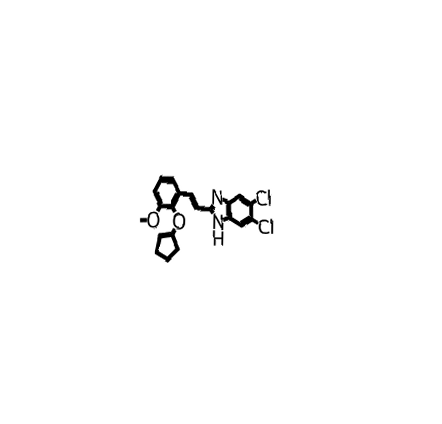 COc1cccc(/C=C/c2nc3cc(Cl)c(Cl)cc3[nH]2)c1OC1CCCC1